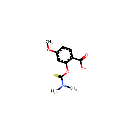 COc1ccc(C(=O)O)c(OC(=S)N(C)C)c1